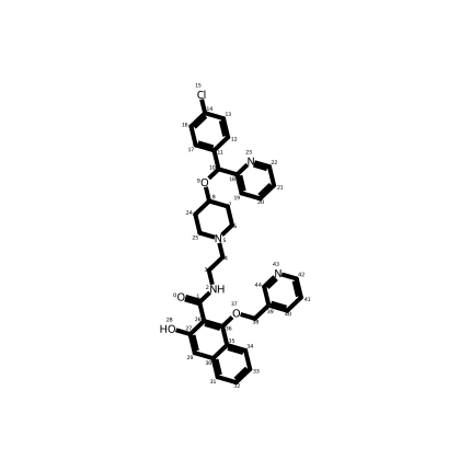 O=C(NCCN1CCC(OC(c2ccc(Cl)cc2)c2ccccn2)CC1)c1c(O)cc2ccccc2c1OCc1cccnc1